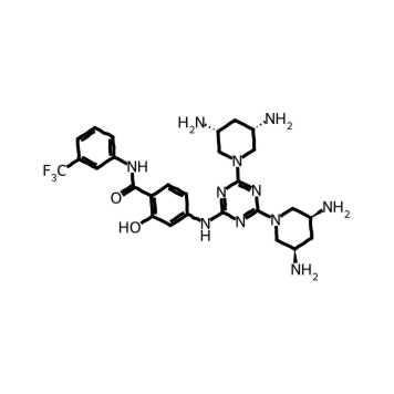 N[C@@H]1C[C@H](N)CN(c2nc(Nc3ccc(C(=O)Nc4cccc(C(F)(F)F)c4)c(O)c3)nc(N3C[C@H](N)C[C@H](N)C3)n2)C1